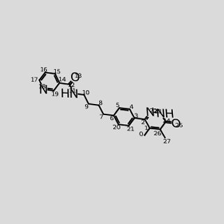 Cc1c(-c2ccc(CCCCNC(=O)c3cccnc3)cc2)n[nH]c(=O)c1C